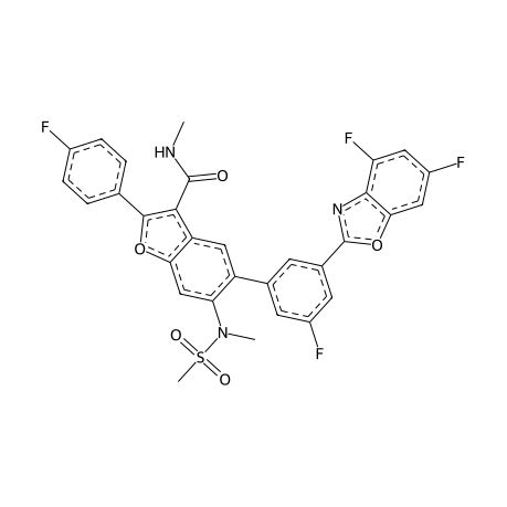 CNC(=O)c1c(-c2ccc(F)cc2)oc2cc(N(C)S(C)(=O)=O)c(-c3cc(F)cc(-c4nc5c(F)cc(F)cc5o4)c3)cc12